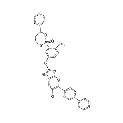 Cc1ccc(Oc2nc3cc(-c4ccc(-c5ccccc5)cc4)c(Cl)cc3[nH]2)cc1P1(=O)OCCC(c2ccncc2)O1